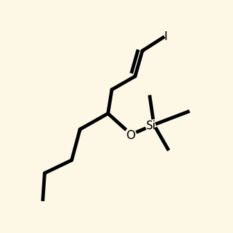 CCCCC(CC=CI)O[Si](C)(C)C